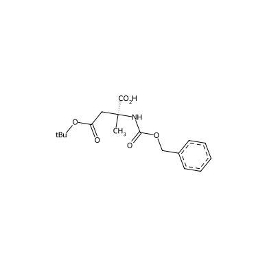 CC(C)(C)OC(=O)C[C@](C)(NC(=O)OCc1ccccc1)C(=O)O